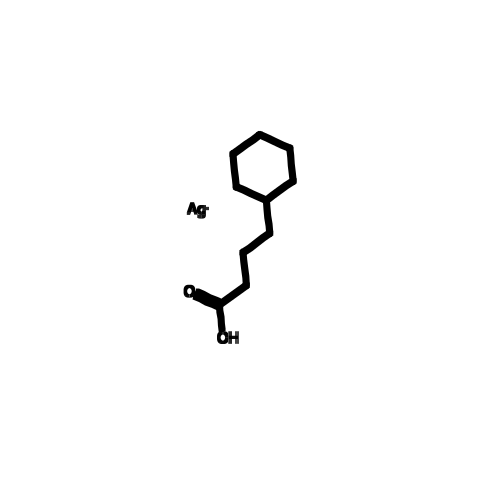 O=C(O)CCCC1CCCCC1.[Ag]